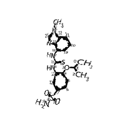 CC(C)Oc1ccc(S(N)(=O)=O)cc1NC(=S)Nc1cccc2c1ncn2C